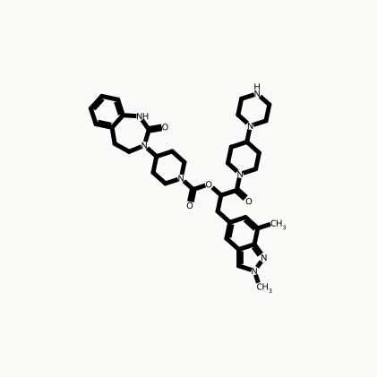 Cc1cc(CC(OC(=O)N2CCC(N3CCc4ccccc4NC3=O)CC2)C(=O)N2CCC(N3CCNCC3)CC2)cc2cn(C)nc12